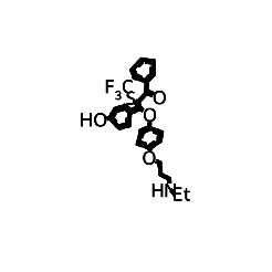 CCNCCCOc1ccc(Oc2c(C(=O)c3ccccc3C(F)(F)F)sc3cc(O)ccc23)cc1